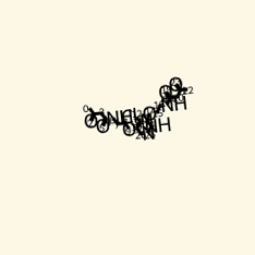 CC(=O)CC(=O)NCCOC1=C(Cl)N(OCCNC(=O)CC(C)=O)NN=C1